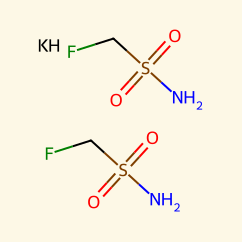 NS(=O)(=O)CF.NS(=O)(=O)CF.[KH]